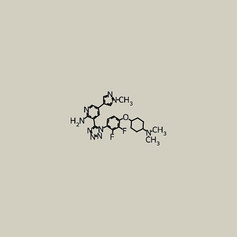 CN(C)C1CCC(Oc2ccc(-n3nnnc3-c3cc(-c4cnn(C)c4)cnc3N)c(F)c2F)CC1